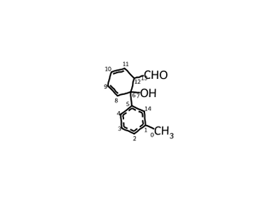 Cc1cccc(C2(O)C=CC=CC2C=O)c1